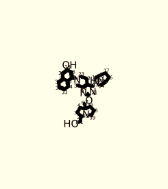 OCC1CCC2(COc3nc4c(c(N5CC6CCC(C5)N6)n3)CCN(c3cc(O)cc5ccccc35)C4)CCCN12